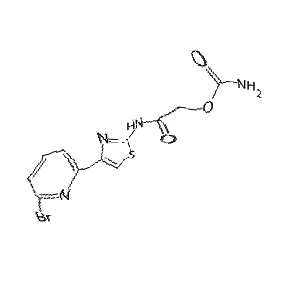 NC(=O)OCC(=O)Nc1nc(-c2cccc(Br)n2)cs1